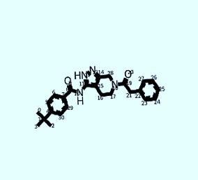 CC(C)(C)c1ccc(C(=O)Nc2[nH]nc3c2CCN(C(=O)Cc2ccccc2)C3)cc1